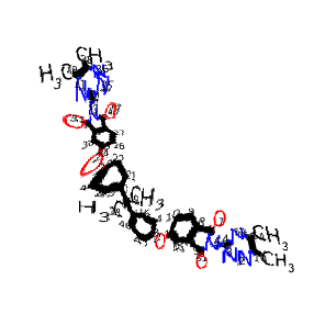 Cc1nnc(N2C(=O)c3ccc(Oc4ccc(C(C)(C)c5ccc(Oc6ccc7c(c6)C(=O)N(c6nnc(C)c(C)n6)C7=O)cc5)cc4)cc3C2=O)nc1C